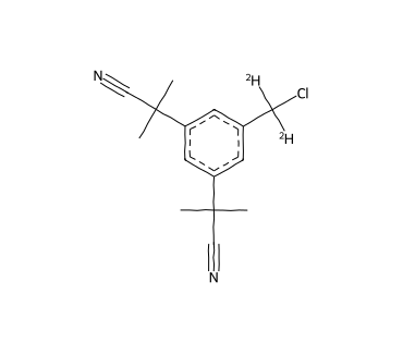 [2H]C([2H])(Cl)c1cc(C(C)(C)C#N)cc(C(C)(C)C#N)c1